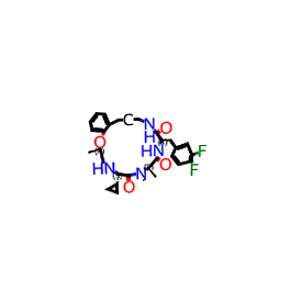 C[C@@H]1CN[C@@H](C2CC2)C(=O)N(C)[C@H](C)C(=O)N[C@H](Cc2ccc(F)c(F)c2)C(=O)NCCCc2ccccc2O1